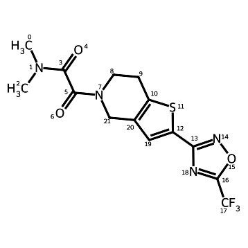 CN(C)C(=O)C(=O)N1CCc2sc(-c3noc(C(F)(F)F)n3)cc2C1